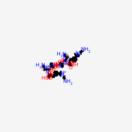 C[n+]1cc(-c2ccc3c(c2)CC[C@H]([C@](C)(O/N=C(\C(=O)N[C@@H]2C(=O)N(OS(=O)(=O)ON4C(=O)[C@@H](NC(=O)/C(=N\O[C@](C)(C(=O)O)[C@H]5CCc6cc(-c7cn(CCCN)[n+](C)c7)ccc6O5)c5csc(N)n5)C4(C)C)C2(C)C)c2csc(N)n2)C(=O)O)O3)cn1CCCN